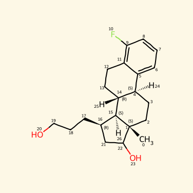 C[C@]12CC[C@@H]3c4cccc(F)c4CC[C@H]3[C@@H]1[C@H](CCCO)CC2O